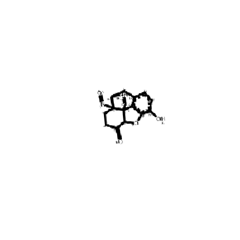 O=NC12CCC(=O)C3Oc4c(O)ccc5c4C31C=CNC2C5